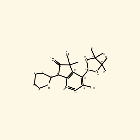 CCC1(C)C(=O)C(C2CCCCO2)c2ncc(F)c(B3OC(C)(C)C(C)(C)O3)c21